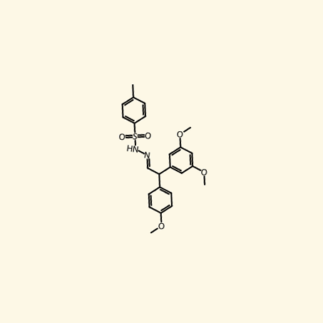 COc1ccc(C(C=NNS(=O)(=O)c2ccc(C)cc2)c2cc(OC)cc(OC)c2)cc1